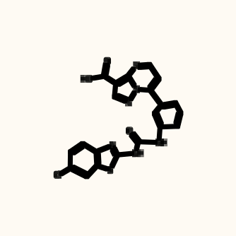 O=C(Nc1cccc(-c2ccnc3c(C(=O)O)cnn23)c1)Nc1nc2ccc(Cl)cc2s1